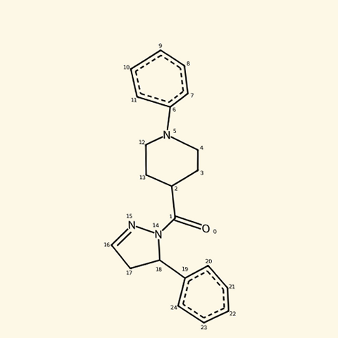 O=C(C1CCN(c2ccccc2)CC1)N1N=CCC1c1ccccc1